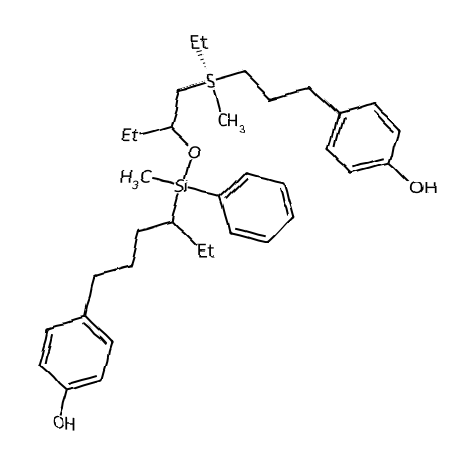 CCC(C[S@@](C)(CC)CCCc1ccc(O)cc1)O[Si](C)(c1ccccc1)C(CC)CCCc1ccc(O)cc1